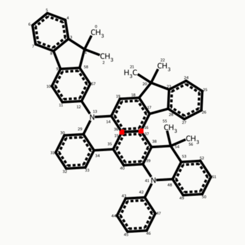 CC1(C)c2ccccc2-c2ccc(N(c3ccc4c(c3)C(C)(C)c3ccccc3-4)c3ccccc3-c3ccc4c(c3)N(c3ccccc3)c3ccccc3C4(C)C)cc21